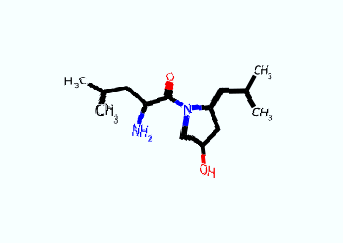 CC(C)CC(N)C(=O)N1CC(O)CC1CC(C)C